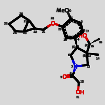 COc1ccc([C@@H]2CN(C(=O)CO)C[C@@]2(C)[C@@H](C)O)cc1OCC1C2CCCC21